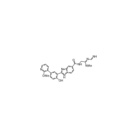 CN/C(CNC(=O)c1ccc2[nH]c(-c3cc(-c4cccnc4OC)ccc3O)nc2c1)=N\C=N